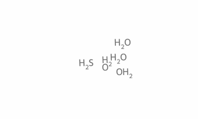 O.O.O.O.S